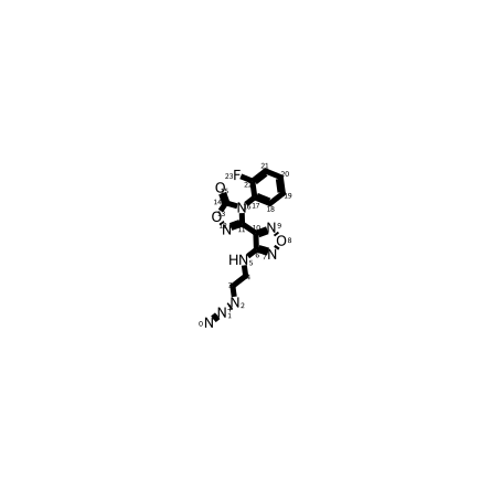 [N-]=[N+]=NCCNc1nonc1-c1noc(=O)n1-c1ccccc1F